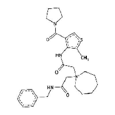 Cc1scc(C(=O)N2CCCC2)c1NC(=O)C[N+]1(CC(=O)NCc2ccccc2)CCCCCC1